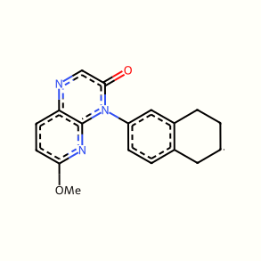 COc1ccc2ncc(=O)n(-c3ccc4c(c3)CC[CH]C4)c2n1